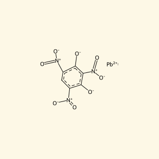 O=[N+]([O-])c1cc([N+](=O)[O-])c([O-])c([N+](=O)[O-])c1[O-].[Pb+2]